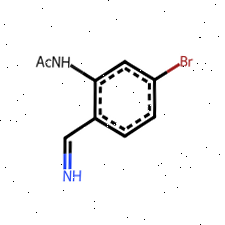 CC(=O)Nc1cc(Br)ccc1C=N